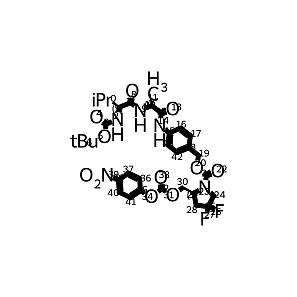 CC(C)[C@H](NC(=O)OC(C)(C)C)C(=O)N[C@@H](C)C(=O)Nc1ccc(COC(=O)N2CC(F)(F)C[C@H]2COC(=O)Oc2ccc([N+](=O)[O-])cc2)cc1